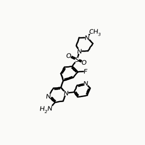 CN1CCN(S(=O)(=O)c2ccc(C3=CN=C(N)CN3c3cccnc3)cc2F)CC1